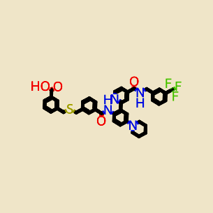 O=C(O)c1cccc(CSCc2cccc(C(=O)Nc3ccc(N4CCCCC4)cc3-c3cc(C(=O)NCc4cccc(C(F)(F)F)c4)ccn3)c2)c1